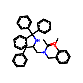 COc1ccccc1CN(CC(Cc1ccccc1)NC(c1ccccc1)(c1ccccc1)c1ccccc1)C(C)=O